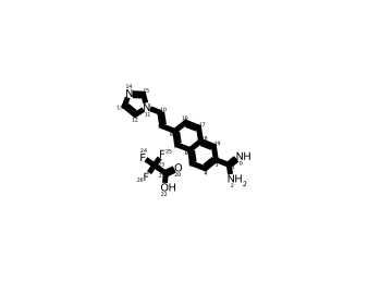 N=C(N)c1ccc2cc(/C=C/n3ccnc3)ccc2c1.O=C(O)C(F)(F)F